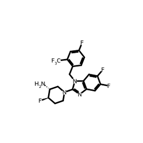 N[C@@H]1CN(c2nc3cc(F)c(F)cc3n2Cc2ccc(F)cc2C(F)(F)F)CC[C@H]1F